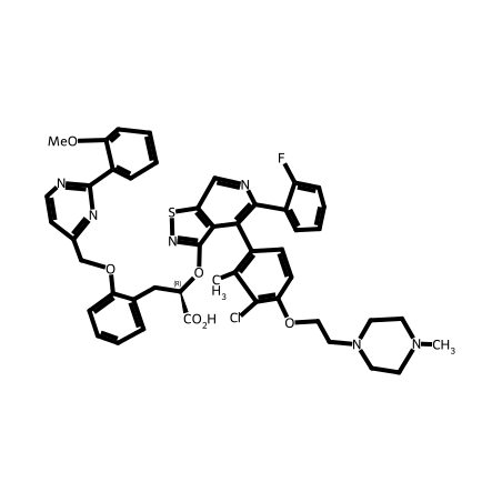 COc1ccccc1-c1nccc(COc2ccccc2C[C@@H](Oc2nsc3cnc(-c4ccccc4F)c(-c4ccc(OCCN5CCN(C)CC5)c(Cl)c4C)c23)C(=O)O)n1